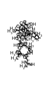 CC[C@@H](C)[C@@H](NC(=O)[C@@H](C)NC(=O)[C@H](CO)NC(=O)[C@@H](NC(=O)[C@@H](Cc1ccccc1)NC)[C@@H](C)CC)C(=O)N[C@H](C(=O)N[C@@H](CO)C(=O)N[C@H]1C(=O)N[C@@H](C)C(=O)N[C@@H](CCCNC(=N)N)C(=O)N[C@@H]([C@@H](C)CC)C(=O)O[C@H]1C)[C@@H](C)CC